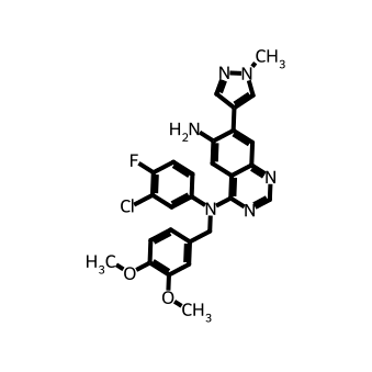 COc1ccc(CN(c2ccc(F)c(Cl)c2)c2ncnc3cc(-c4cnn(C)c4)c(N)cc23)cc1OC